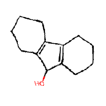 OC1C2=C(CCCC2)C2=C1CCCC2